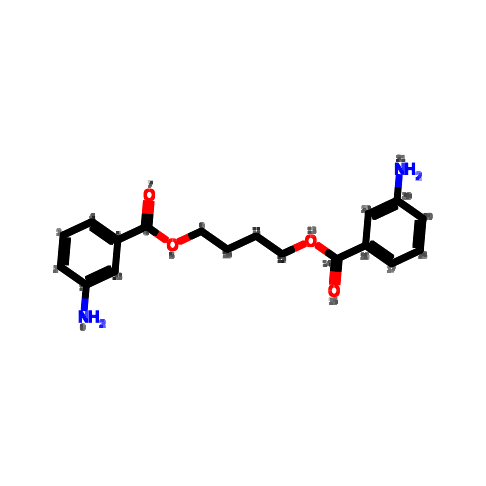 Nc1cccc(C(=O)OCCCCOC(=O)c2cccc(N)c2)c1